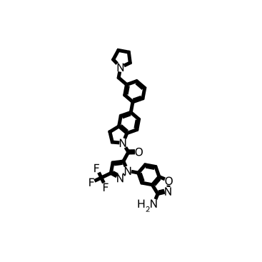 Nc1noc2ccc(-n3nc(C(F)(F)F)cc3C(=O)N3CCc4cc(-c5cccc(CN6CCCC6)c5)ccc43)cc12